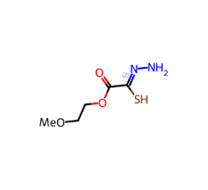 COCCOC(=O)/C(S)=N/N